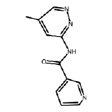 Cc1cnnc(NC(=O)c2cccnc2)c1